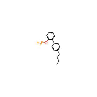 CCCCc1ccc(-c2ccccc2OP)cc1